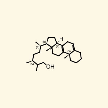 CC(CO)[C@@H](C)CC[C@@H](C)[C@H]1CC[C@H]2C3=C(CC[C@]12C)[C@@]1(C)CCCCC1=CC3